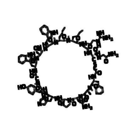 CCCC[C@H]1C(=O)N(C)[C@@H](CCCC)C(=O)NC(CCCNC(=N)N)C(=O)N[C@H](C(=O)NCC(N)=O)CSCC(=O)N[C@@H](Cc2ccccc2)C(=O)N(C)[C@@H](C)C(=O)N[C@@H](CC(N)=O)C(=O)N2CCC[C@H]2C(=O)N[C@@H](Cc2cnc[nH]2)C(=O)N[C@@H](Cc2ccc(O)cc2)C(=O)N(C)CC(=O)N[C@@H](Cc2c[nH]c3ccccc23)C(=O)N[C@@H](CO)C(=O)N[C@@H](Cc2c[nH]c3ccccc23)C(=O)N1C